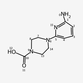 Nc1cccc(N2CCN(C(=O)O)CC2)n1